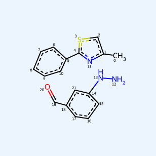 Cc1csc(-c2ccccc2)n1.NNc1cccc(C=O)c1